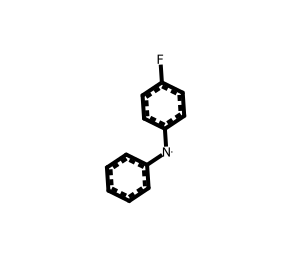 Fc1ccc([N]c2ccccc2)cc1